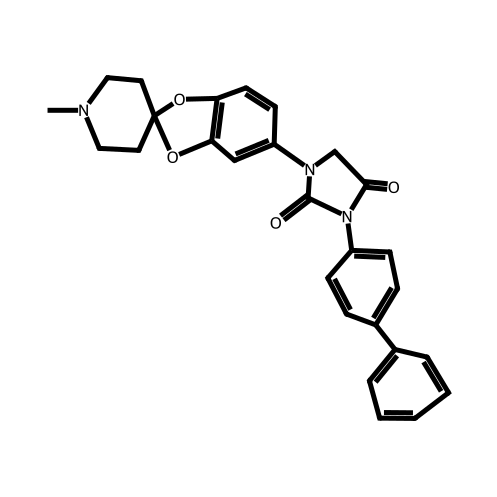 CN1CCC2(CC1)Oc1ccc(N3CC(=O)N(c4ccc(-c5ccccc5)cc4)C3=O)cc1O2